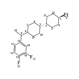 CC[C@H]1CC[C@H](C2CCC(C(C)c3ccc(F)c(F)c3)CC2)CC1